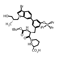 CC(C)[Si](Oc1cc(C[C@H](NC(=O)OC(C)(C)C)C(=O)N2CCC[C@@H](C(=O)O)N2)cc(-c2ccc3c(Br)cn(C[C@H](C)CO)c3c2)c1)(C(C)C)C(C)C